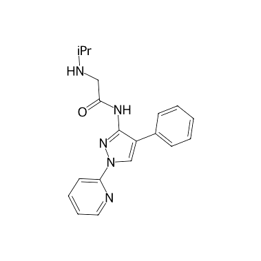 CC(C)NCC(=O)Nc1nn(-c2ccccn2)cc1-c1ccccc1